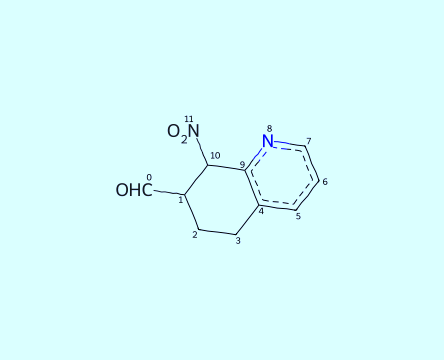 O=CC1CCc2cccnc2C1[N+](=O)[O-]